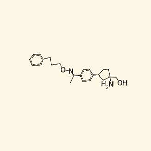 C/C(=N\OCCCc1ccccc1)c1ccc([C@H]2CC[C@](N)(CO)C2)cc1